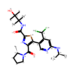 [2H]C([2H])(NC(=O)c1nc(C(=O)N2CCC[C@@H]2C)c(-c2cnc(N[C@@H](CC)C(F)(F)F)cc2C(F)F)s1)C(C)(C)O